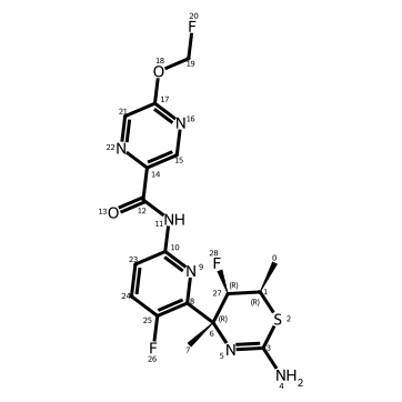 C[C@H]1SC(N)=N[C@](C)(c2nc(NC(=O)c3cnc(OCF)cn3)ccc2F)[C@H]1F